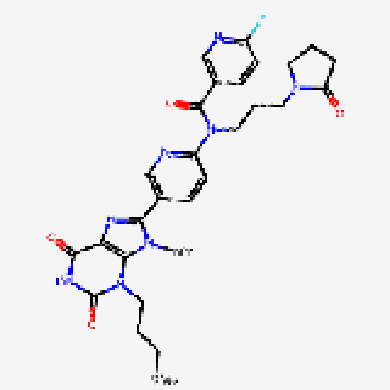 CCCn1c(-c2ccc(N(CCCN3CCCC3=O)C(=O)c3ccc(F)nc3)nc2)nc2c(=O)[nH]c(=O)n(CCCOC)c21